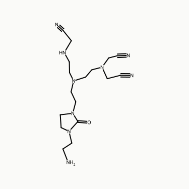 N#CCNCCN(CCN(CC#N)CC#N)CCN1CCN(CCN)C1=O